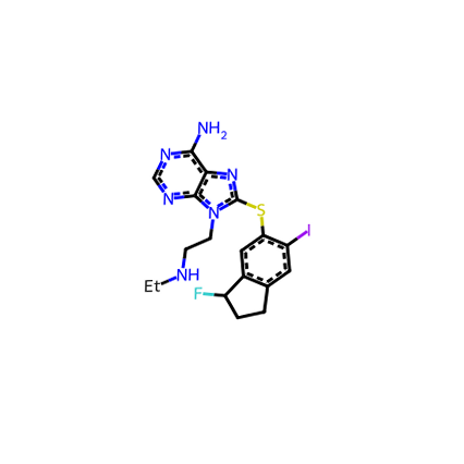 CCNCCn1c(Sc2cc3c(cc2I)CCC3F)nc2c(N)ncnc21